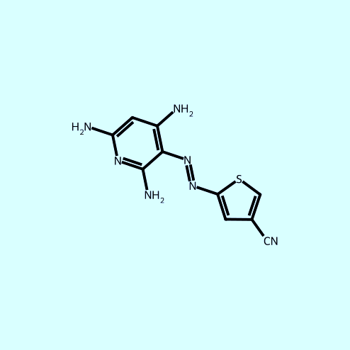 N#Cc1csc(N=Nc2c(N)cc(N)nc2N)c1